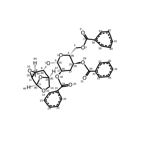 O=C(OC[C@H]1O[C@@H](O[C@H]2[C@@H]3O[C@@H]3[C@@H]3OC[C@H]2O3)[C@H](OC(=O)c2ccccc2)C[C@@H]1OC(=O)c1ccccc1)c1ccccc1